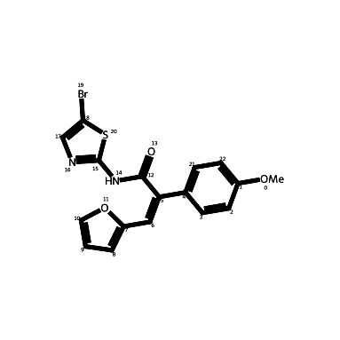 COc1ccc(/C(=C/c2ccco2)C(=O)Nc2ncc(Br)s2)cc1